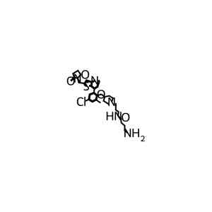 Cc1cc(Cl)cc(-c2ccnc3cc(CN4C(=O)CCC4=O)sc23)c1OC1CCN(CCCNC(=O)CCCN)CC1